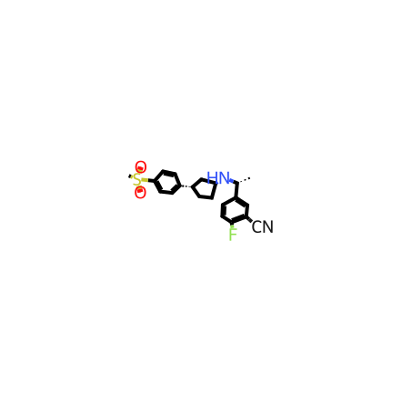 C[C@@H](NC1CC[C@H](c2ccc(S(C)(=O)=O)cc2)C1)c1ccc(F)c(C#N)c1